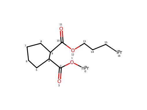 CCCOC(=O)C1CCCCC1C(=O)OCCCC(C)C